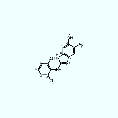 CC(=O)c1cc2nc(Nc3c(Cl)cccc3Cl)[nH]c2cc1O